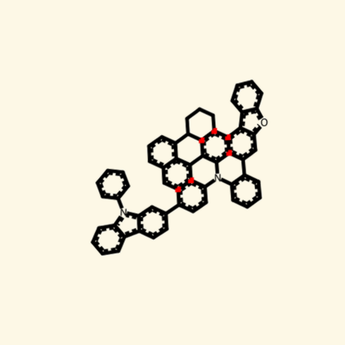 c1ccc(-n2c3ccccc3c3ccc(-c4ccc(N(c5ccccc5-c5ccc6c(c5)oc5ccccc56)c5ccccc5-c5cccc6cccc(C7CCCCC7)c56)cc4)cc32)cc1